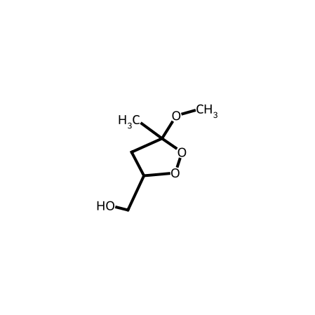 COC1(C)CC(CO)OO1